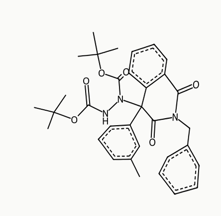 Cc1cccc(C2(N(NC(=O)OC(C)(C)C)C(=O)OC(C)(C)C)C(=O)N(Cc3ccccc3)C(=O)c3ccccc32)c1